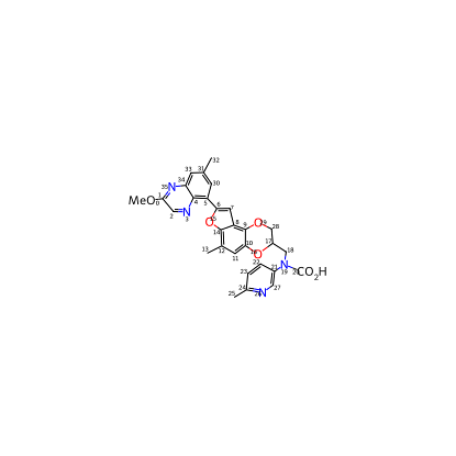 COc1cnc2c(-c3cc4c5c(cc(C)c4o3)OC(CN(C(=O)O)c3ccc(C)nc3)CO5)cc(C)cc2n1